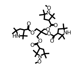 CON1C(C)(C)CC(C(=O)OCC(COC(=O)C2CC(C)(C)NC2(C)C)(COC(=O)C2CC(C)(C)NC2(C)C)COC(=O)C2CC(C)(C)N(OC)C2(C)C)C1(C)C